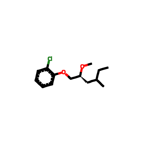 CCC(C)C[C@H](COc1ccccc1Cl)OC